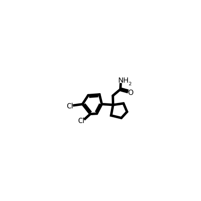 NC(=O)CC1(c2ccc(Cl)c(Cl)c2)CCCC1